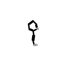 CCCC#Cc1ccccn1